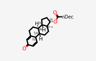 CCCCCCCCCCC(=O)O[C@H]1CC[C@H]2[C@@H]3CCC4=CC(=O)C=C[C@]4(C)[C@H]3CC[C@]12C